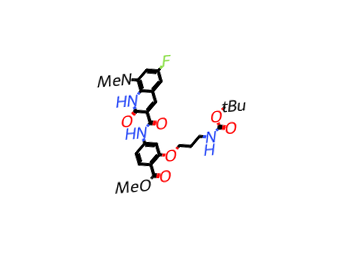 CNc1cc(F)cc2cc(C(=O)Nc3ccc(C(=O)OC)c(OCCCNC(=O)OC(C)(C)C)c3)c(=O)[nH]c12